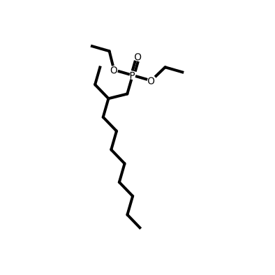 CCCCCCCCC(CC)CP(=O)(OCC)OCC